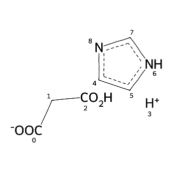 O=C([O-])CC(=O)O.[H+].c1c[nH]cn1